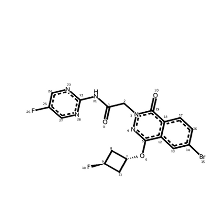 O=C(Cn1nc(O[C@H]2C[C@H](F)C2)c2cc(Br)ccc2c1=O)Nc1ncc(F)cn1